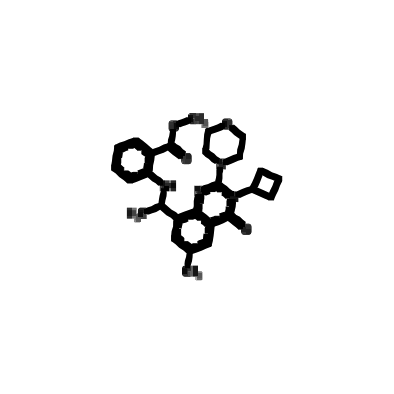 COC(=O)c1ccccc1NC(C)c1cc(C)cc2c(=O)n(C3CCC3)c(N3CCOCC3)nc12